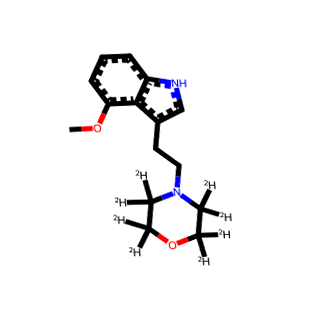 [2H]C1([2H])OC([2H])([2H])C([2H])([2H])N(CCc2c[nH]c3cccc(OC)c23)C1([2H])[2H]